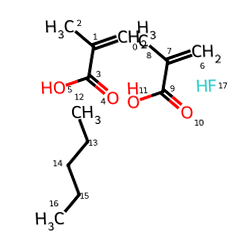 C=C(C)C(=O)O.C=C(C)C(=O)O.CCCCC.F